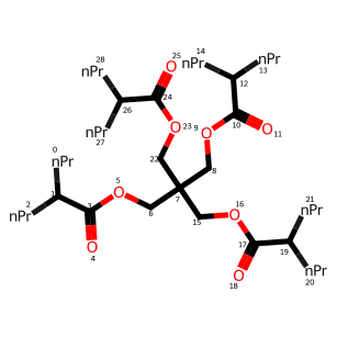 CCCC(CCC)C(=O)OCC(COC(=O)C(CCC)CCC)(COC(=O)C(CCC)CCC)COC(=O)C(CCC)CCC